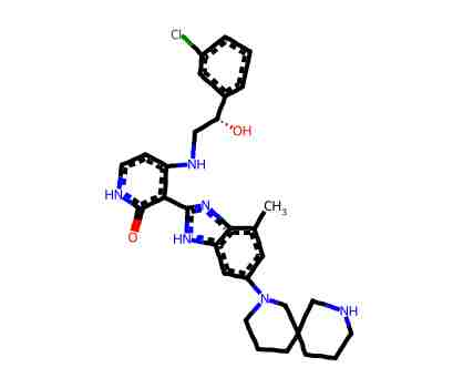 Cc1cc(N2CCCC3(CCCNC3)C2)cc2[nH]c(-c3c(NC[C@@H](O)c4cccc(Cl)c4)cc[nH]c3=O)nc12